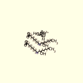 CCCCCCC(O)C/C=C\CCCCCCCC(=O)[O-].CCCCCCC(O)C/C=C\CCCCCCCC(=O)[O-].OCC(O)CO.[Zn+2]